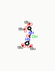 CC(C)(C)C(=O)Oc1ccc(CNCC(=O)CNCc2ccc(OC(=O)C(C)(C)C)c(OC(=O)C(C)(C)C)c2)cc1OC(=O)C(C)(C)C.Cl